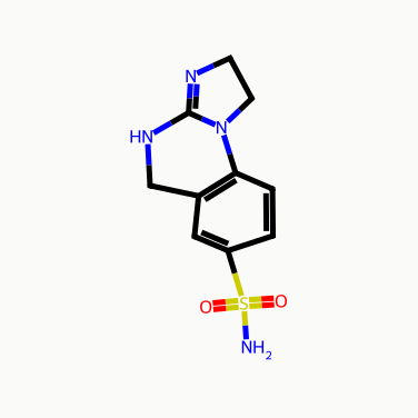 NS(=O)(=O)c1ccc2c(c1)CNC1=NCCN12